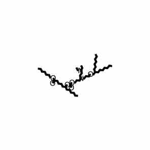 CCCCCCCOC(=O)CCCCC(CCCCCC)OC(=O)OCCCN(CCCOCC(CCCCCCC)CCCCCCC)CCN(CC)CC